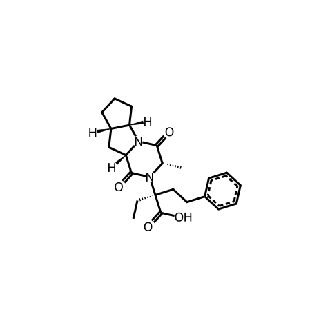 CC[C@](CCc1ccccc1)(C(=O)O)N1C(=O)[C@@H]2C[C@@H]3CCC[C@@H]3N2C(=O)[C@@H]1C